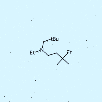 CCN(CCC(C)(C)CC)CC(C)(C)C